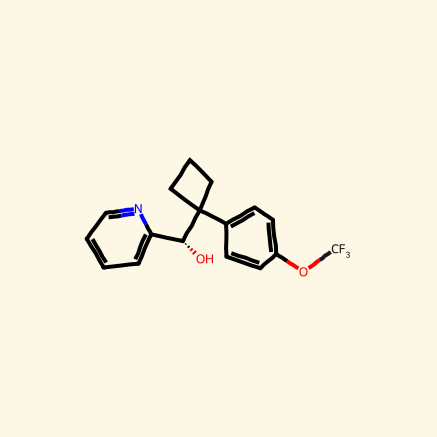 O[C@H](c1ccccn1)C1(c2ccc(OC(F)(F)F)cc2)CCC1